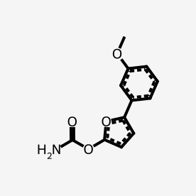 COc1cccc(-c2ccc(OC(N)=O)o2)c1